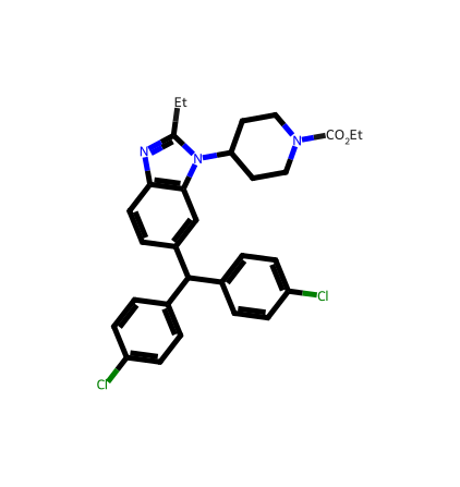 CCOC(=O)N1CCC(n2c(CC)nc3ccc(C(c4ccc(Cl)cc4)c4ccc(Cl)cc4)cc32)CC1